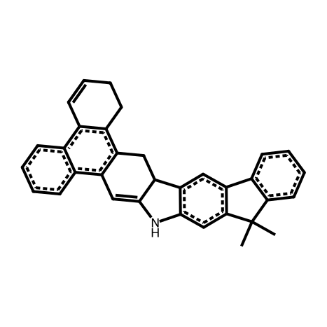 CC1(C)c2ccccc2-c2cc3c(cc21)NC1=Cc2c(c4c(c5ccccc25)C=CCC4)CC13